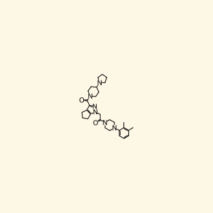 Cc1cccc(N2CCN(C(=O)Cn3nc(C(=O)N4CCC(N5CCCC5)CC4)c4c3CCC4)CC2)c1C